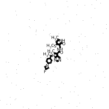 CSc1cc(C)[nH]c(=O)c1CNC(=O)c1c(C)n([C@H](C)C2CCC(N3CC(F)C3)CC2)c2ncncc12